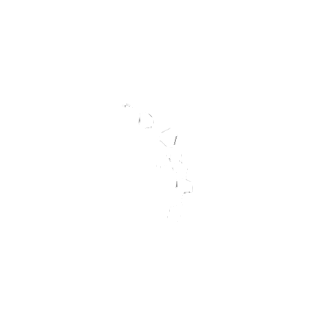 CCCCc1ccc(-c2ccc(CN(Cc3ccc(OCC(=O)O)cc3)S(=O)(=O)CC)cc2)cc1